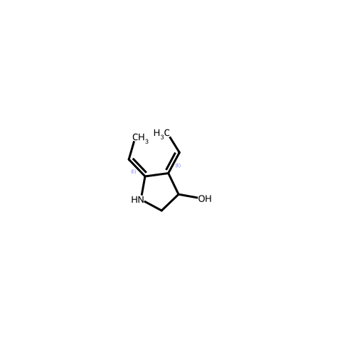 C/C=C1/NCC(O)/C1=C/C